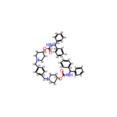 O=C(NC(c1ccccc1)c1ccccc1)OC1CCN(Cc2ccc(CN3CCC(OC(=O)NC(c4ccccc4)c4ccccc4)CC3)cc2)CC1